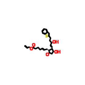 C=CCOC(=O)CCCC=CC[C@H]1C(=O)C[C@@H](O)[C@@H]1C=C[C@@H](O)CCc1cc2ccccc2s1